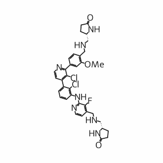 COc1cc(-c2nccc(-c3cccc(Nc4nccc(CNC[C@@H]5CCC(=O)N5)c4F)c3Cl)c2Cl)ccc1CNC[C@@H]1CCC(=O)N1